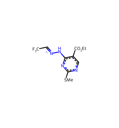 CCOC(=O)c1cnc(SC)nc1N/N=C/C(F)(F)F